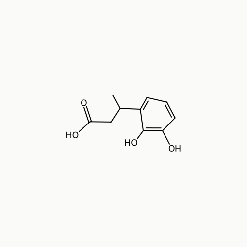 CC(CC(=O)O)c1cccc(O)c1O